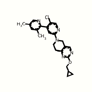 Cc1cnc(-c2cc(N3CCc4nc(OCC5CC5)ncc4C3)ncc2Cl)c(C)c1